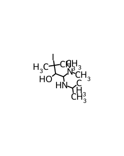 CC(C)NC(C(O)C(C)(C)I)N(C)C